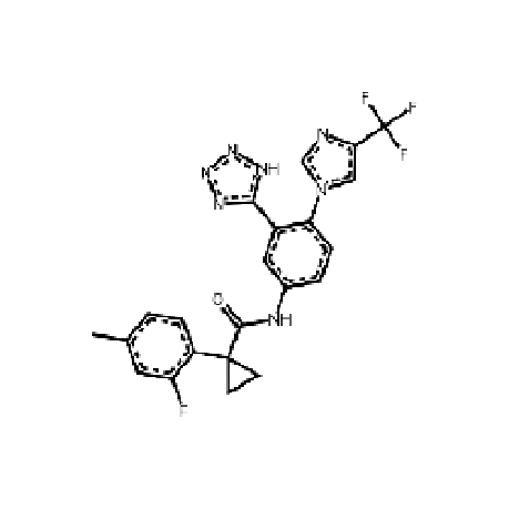 Cc1ccc(C2(C(=O)Nc3ccc(-n4cnc(C(F)(F)F)c4)c(-c4nnn[nH]4)c3)CC2)c(F)c1